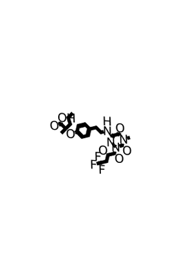 CCCC(C)(Oc1ccc(CCNc2nn(C(=O)C(=O)CC(F)(F)F)c(=O)n(C)c2=O)cc1)C(=O)O